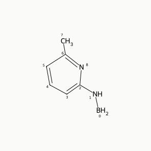 BNc1cccc(C)n1